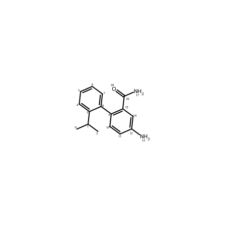 CC(C)c1ccccc1-c1ccc(N)cc1C(N)=O